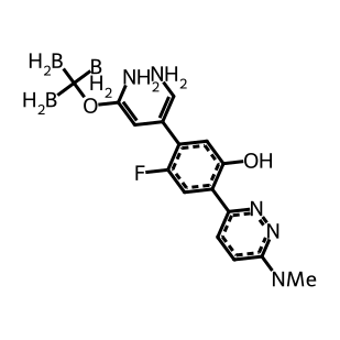 BC(B)(B)O/C(N)=C/C(=C\N)c1cc(O)c(-c2ccc(NC)nn2)cc1F